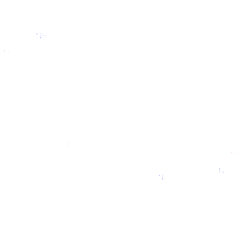 Cc1cc(C2CCCN2Cc2ccc(Oc3ccc(C(N)=O)cc3)cc2)no1